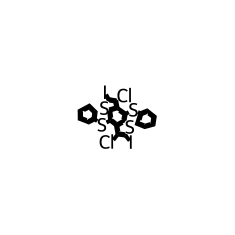 Clc1c(I)sc2c(Sc3ccccc3)c3c(Cl)c(I)sc3c(Sc3ccccc3)c12